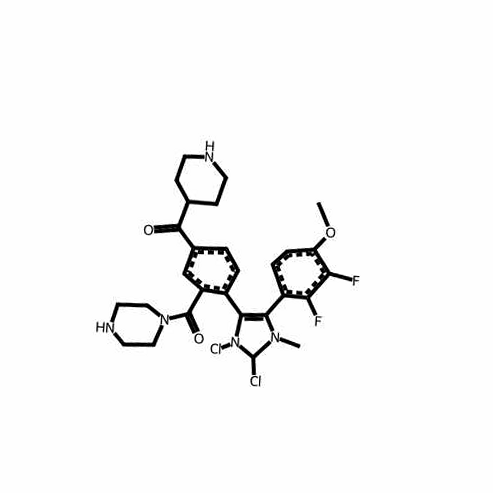 COc1ccc(C2=C(c3ccc(C(=O)C4CCNCC4)cc3C(=O)N3CCNCC3)N(Cl)C(Cl)N2C)c(F)c1F